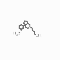 CCCCCN1CCC2(c3cccc(OC)c3)CCCC2C1